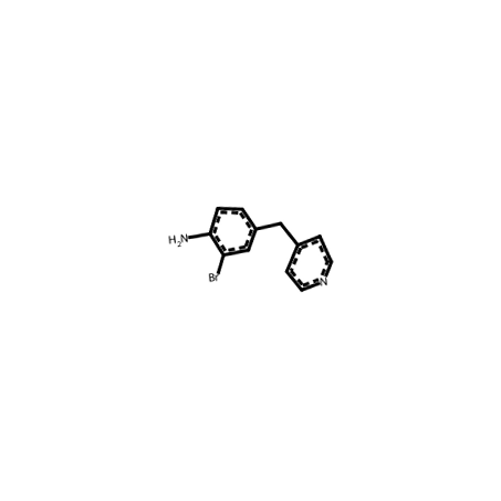 Nc1ccc(Cc2ccncc2)cc1Br